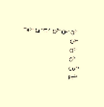 [Co+2].[Cr+3].[O-2].[O-2].[O-2].[O-2].[O-2].[O-2].[O-2].[Pt+4].[Ta+5]